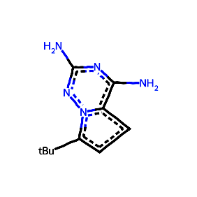 CC(C)(C)c1ccc2c(N)nc(N)nn12